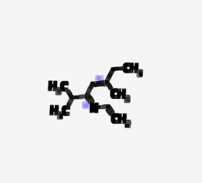 C=C/N=C(\C=C(/C)CC)C(C)C